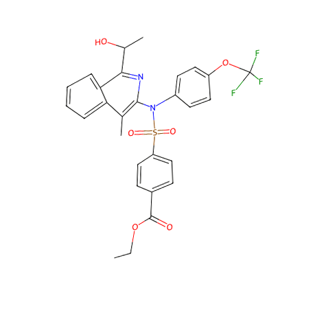 CCOC(=O)c1ccc(S(=O)(=O)N(c2ccc(OC(F)(F)F)cc2)c2nc(C(C)O)c3ccccc3c2C)cc1